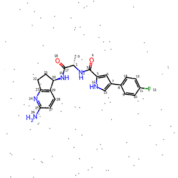 C[C@H](NC(=O)c1cc(-c2ccc(F)cc2)c[nH]1)C(=O)N[C@@H]1CCc2nc(N)ccc21